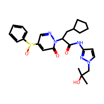 CC(C)(O)Cn1ccc(NC(=O)C(CC2CCCC2)n2ncc([S+]([O-])c3ccccc3)cc2=O)n1